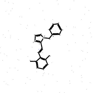 Cc1cccc(C)c1/C=C/c1nccn1Cc1ccccc1